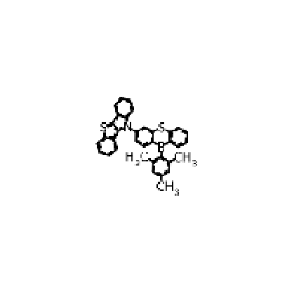 Cc1cc(C)c(B2c3ccccc3Sc3cc(-n4c5ccccc5c5sc6ccccc6c54)ccc32)c(C)c1